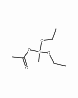 CCO[Si](C)(OCC)OC(C)=O